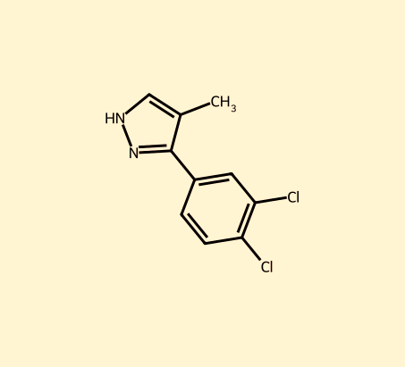 Cc1c[nH]nc1-c1ccc(Cl)c(Cl)c1